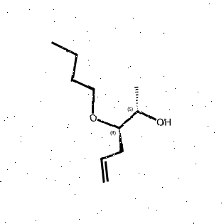 C=CC[C@@H](OCCCC)[C@H](C)O